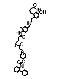 Cc1cc(CNCCc2ccc(O)c3c2C=CCC(=O)N3)ccc1NC(=O)CCCN(C)C(=O)CCN1CCC(OC(=O)Nc2ccccc2-c2ccccc2)CC1